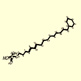 O=P(O)(O)OCCCCCCCCCCCCCCCCC1CCCCC1